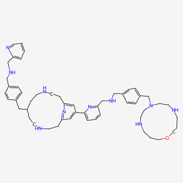 c1ccc(CNCc2ccc(CC3CCNCCc4cc(-c5cccc(CNCc6ccc(CN7CCNCCCOCCCNCC7)cc6)n5)cc(n4)CCNCC3)cc2)nc1